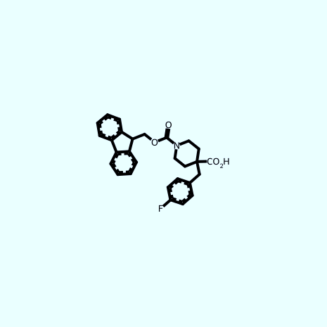 O=C(OCC1c2ccccc2-c2ccccc21)N1CCC(Cc2ccc(F)cc2)(C(=O)O)CC1